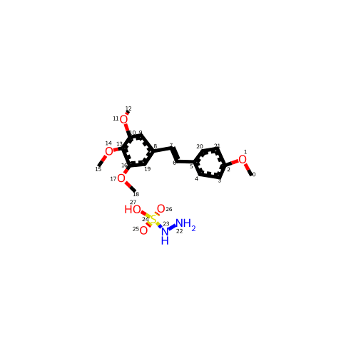 COc1ccc(/C=C/c2cc(OC)c(OC)c(OC)c2)cc1.NNS(=O)(=O)O